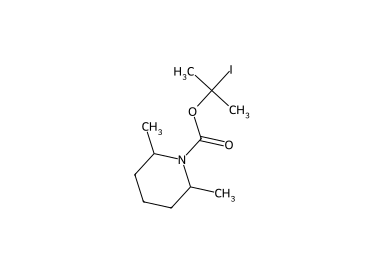 CC1CCCC(C)N1C(=O)OC(C)(C)I